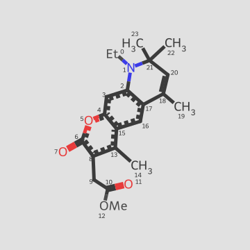 CCN1c2cc3oc(=O)c(CC(=O)OC)c(C)c3cc2C(C)=CC1(C)C